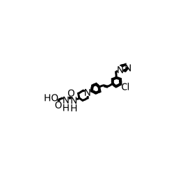 O=C(O)CNC(=O)NC1CCN(c2ccc(C=Cc3cc(Cl)cc(Cn4ccnc4)c3)cc2)CC1